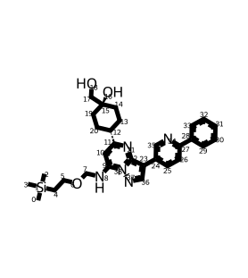 C[Si](C)(C)CCOCNc1cc([C@H]2CC[C@@](O)(CO)CC2)nc2c(-c3ccc(-c4ccccc4)nc3)cnn12